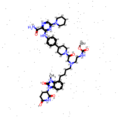 Cn1c(=O)n(C2CCC(=O)NC2=O)c2cccc(CCCCN(CCNC(=O)OC(C)(C)C)CC(=O)N3CCC(c4ccc(Nc5nc(N6CCCCC6)cnc5C(N)=O)cc4)CC3)c21